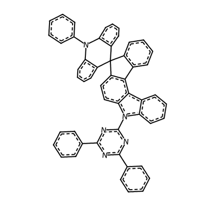 c1ccc(-c2nc(-c3ccccc3)nc(-n3c4ccccc4c4c5c(ccc43)C3(c4ccccc4-5)c4ccccc4N(c4ccccc4)c4ccccc43)n2)cc1